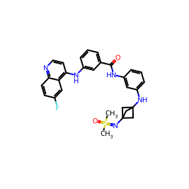 CS(C)(=O)=NC12CC(Nc3cccc(NC(=O)c4cccc(Nc5ccnc6ccc(F)cc56)c4)c3)(C1)C2